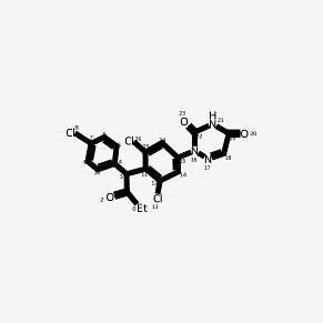 CCC(=O)C(c1ccc(Cl)cc1)c1c(Cl)cc(-n2ncc(=O)[nH]c2=O)cc1Cl